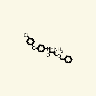 N[C@@H](COCc1ccccc1)C(=O)Nc1ccc(Oc2ccc(Cl)cc2)cc1